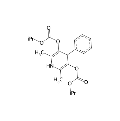 CC1=C(OC(=O)OC(C)C)C(c2ccccc2)C(OC(=O)OC(C)C)=C(C)N1